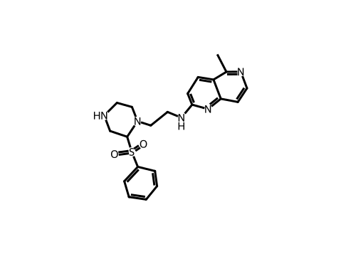 Cc1nccc2nc(NCCN3CCNCC3S(=O)(=O)c3ccccc3)ccc12